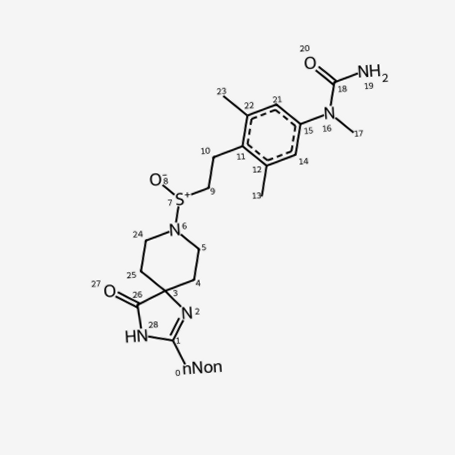 CCCCCCCCCC1=NC2(CCN([S+]([O-])CCc3c(C)cc(N(C)C(N)=O)cc3C)CC2)C(=O)N1